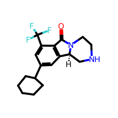 O=C1c2c(cc(C3CCCCC3)cc2C(F)(F)F)[C@@H]2CNCCN12